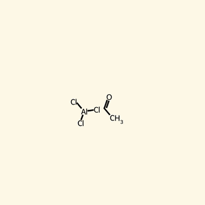 CC=O.[Cl][Al]([Cl])[Cl]